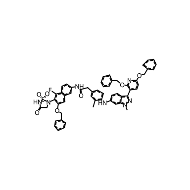 Cc1cc(CC(=O)Nc2ccc3c(F)c(N4CC(=O)NS4(=O)=O)c(OCc4ccccc4)cc3c2)ccc1Nc1ccc2c(-c3ccc(OCc4ccccc4)nc3OCc3ccccc3)nn(C)c2c1